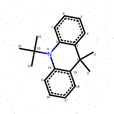 CC1(C)c2ccccc2N(C(C)(C)C)c2ccccc21